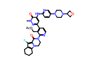 CC(=O)OCc1c(-c2cc(Nc3ccc(N4CCN(C5COC5)CC4)cn3)c(=O)n(C)n2)ccnc1N1CCn2c3c(c(F)c2C1=O)CCCC3